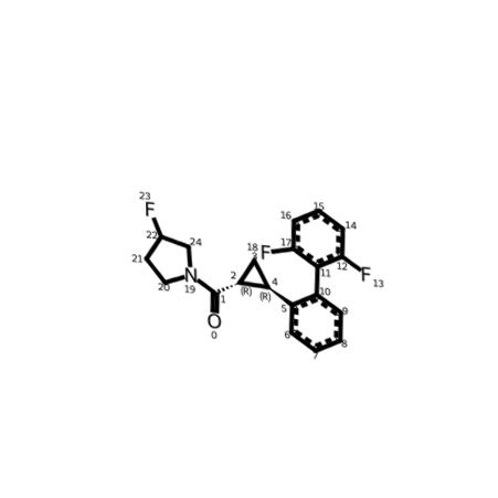 O=C([C@@H]1C[C@H]1c1ccccc1-c1c(F)cccc1F)N1CCC(F)C1